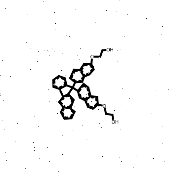 OCCOc1ccc2cc(C3(c4ccc5cc(OCCO)ccc5c4)c4ccccc4-c4cc5ccccc5cc43)ccc2c1